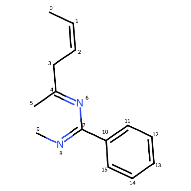 C/C=C\C/C(C)=N/C(=N\C)c1ccccc1